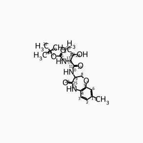 Cc1ccc2c(c1)OCC(NC(=O)[C@@H](NC(=O)OC(C)(C)C)[C@H](C)O)C(=O)N2